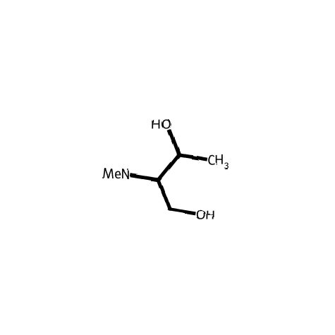 CNC(CO)C(C)O